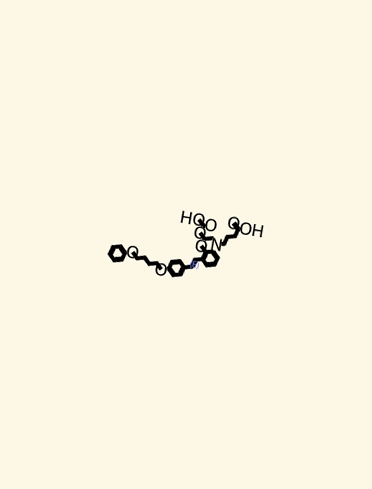 O=C(O)CCCN1CC(OC(=O)O)Oc2c(/C=C/c3ccc(OCCCCOc4ccccc4)cc3)cccc21